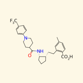 Cc1ccc(C(=O)O)c(CC[C@@H]2CCC[C@@H]2NC(=O)C2CCN(c3ccc(C(F)(F)F)cc3)CC2)c1